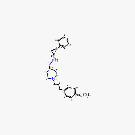 O=C(O)c1ccc(CCCN2CCC(CNC3C[C@H]3c3ccccc3)CC2)cc1